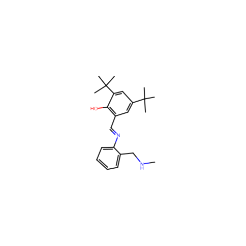 CNCc1ccccc1N=Cc1cc(C(C)(C)C)cc(C(C)(C)C)c1O